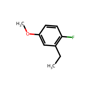 CCc1cc(OC)ccc1F